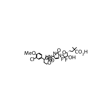 COc1ccc(C2CCOP(=O)(Nc3ccn([C@@H]4O[C@H](CCC(C)(C)C(=O)O)[C@@H](O)C4(F)F)c(=O)n3)O2)cc1Cl